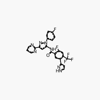 O=C(Nc1cc(-c2ncccn2)nn1-c1ccc(F)cc1)c1cc(-c2cc[nH]n2)c(C(F)(F)F)cc1F